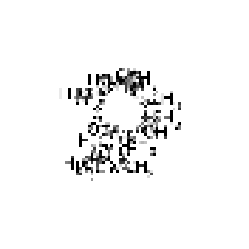 CC[C@H]1OC(=O)[C@H](C)[C@@H](C2C[C@@](C)(OC)C[C@H](C)O2)[C@H](C)C[C@](C)(O)C[C@@H](C)CN(C)[C@H](C)[C@@H](O)[C@]1(C)O